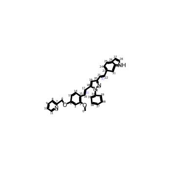 COc1cc(OCc2ccccn2)ccc1/C=C/c1cc(/C=C/c2ccc3cc[nH]c3c2)nn1-c1ccccc1